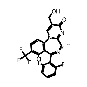 C[C@@H]1N=C(c2c(F)cccc2F)c2c(ccc(C(F)(F)F)c2Cl)-n2cc(CO)c(=O)nc21